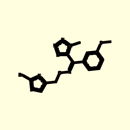 CSc1cccc(/C(=N/OCc2csc(Br)n2)c2nnnn2C)c1